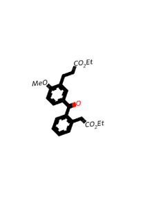 CCOC(=O)CCc1cc(C(=O)c2ccccc2CC(=O)OCC)ccc1OC